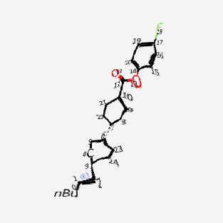 CCCC/C=C/[C@H]1CC[C@H](C2CCC(C(=O)Oc3ccc(F)cc3)CC2)CC1